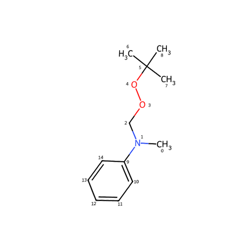 CN(COOC(C)(C)C)c1ccccc1